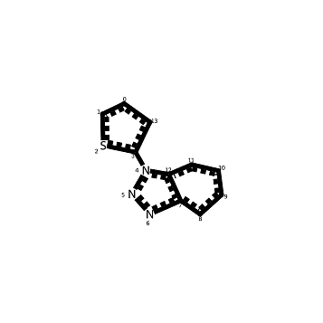 c1csc(-n2nnc3ccccc32)c1